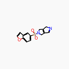 O=S(=O)(c1ccc2occc2c1)N1CC2=C(CN=C2)C1